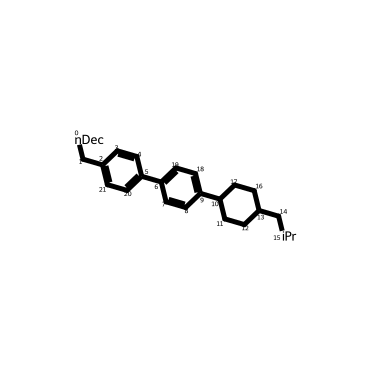 CCCCCCCCCCCc1ccc(-c2ccc(C3CCC(CC(C)C)CC3)cc2)cc1